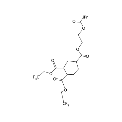 CC(C)C(=O)OCCOC(=O)C1CCC(C(=O)OCC(F)(F)F)C(C(=O)OCC(F)(F)F)C1